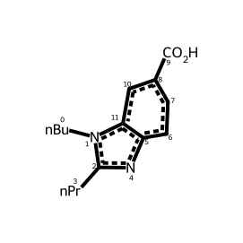 CCCCn1c(CCC)nc2ccc(C(=O)O)cc21